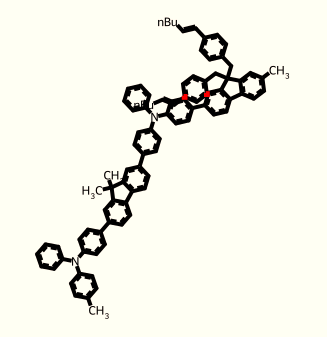 CCCCC=Cc1ccc(CC2(Cc3ccc(C=CCCCC)cc3)c3cc(C)ccc3-c3ccc(-c4ccc(N(c5ccccc5)c5ccc(-c6ccc7c(c6)C(C)(C)c6cc(-c8ccc(N(c9ccccc9)c9ccc(C)cc9)cc8)ccc6-7)cc5)cc4)cc32)cc1